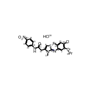 CC(C)Oc1cc(/N=c2\scc(CC(=O)Nc3ccc([N+](=O)[O-])cc3)n2C)c(F)cc1Cl.Cl